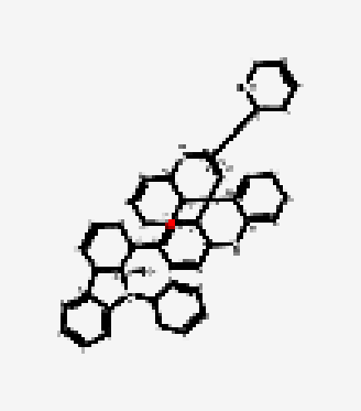 C1=CCC(N2c3ccccc3C3C=CCC(C4=CC5C(C=C4)OC4=CCCC=C4C54C5C=CC(C6CC=CCN6)=CC5OC5C=CCCC54)[C@@H]32)C=C1